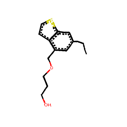 CCc1cc(COCCCO)c2ccsc2c1